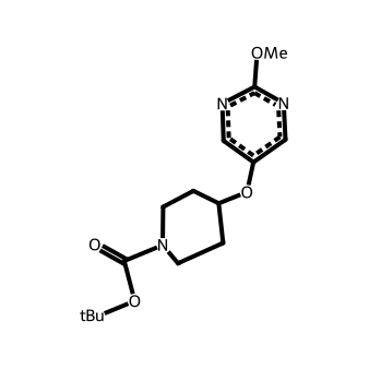 COc1ncc(OC2CCN(C(=O)OC(C)(C)C)CC2)cn1